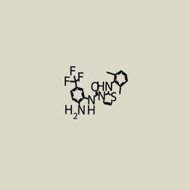 Cc1cccc(C)c1NC1SC=CN1C(=O)Nc1cc(C(F)(F)F)ccc1N